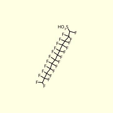 O=S(=O)(O)C(F)C(F)(F)C(F)(F)C(F)(F)C(F)(F)C(F)(F)C(F)(F)C(F)(F)C(F)(F)C(F)(F)C(F)(F)C(F)F